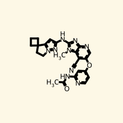 CC(=O)Nc1cc(Oc2cnc3nc(Nc4cc5n(n4)CCC54CCC4)n(C)c3c2C#N)ccn1